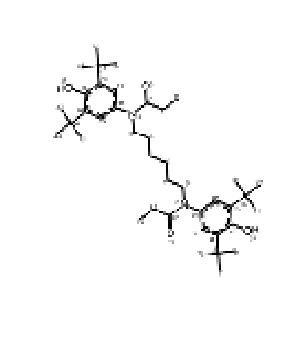 CCC(=O)N(CCCCCCN(C(=O)CC)c1cc(C(C)(C)C)c(O)c(C(C)(C)C)c1)c1cc(C(C)(C)C)c(O)c(C(C)(C)C)c1